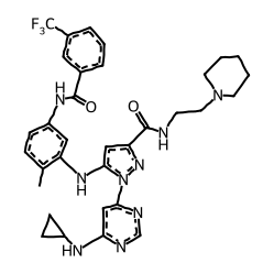 Cc1ccc(NC(=O)c2cccc(C(F)(F)F)c2)cc1Nc1cc(C(=O)NCCN2CCCCC2)nn1-c1cc(NC2CC2)ncn1